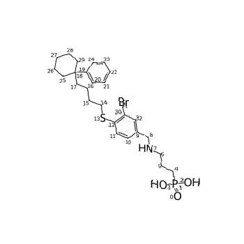 O=P(O)(O)CCCNCc1ccc(SCCCCC2(c3ccccc3)CCCCC2)c(Br)c1